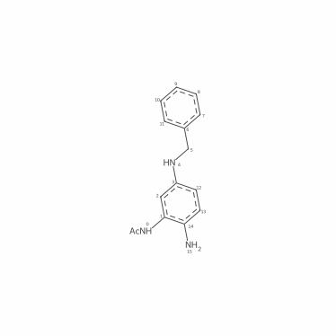 CC(=O)Nc1cc(NCc2ccccc2)ccc1N